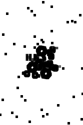 COc1ccc(CN(Cc2c(N)cccc2[N+](=O)[O-])S(=O)(=O)c2ccccc2[N+](=O)[O-])cc1OC